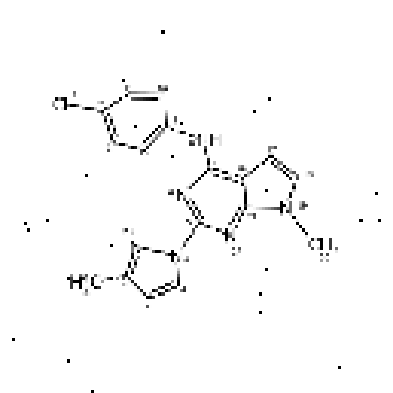 Cc1ccn(-c2nc(Nc3ccc(Cl)cc3)c3ccn(C)c3n2)n1